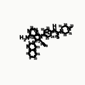 C#Cc1c(-c2cnc3ccccc3c2)c2c(N)ncnc2n1C12CCC(NC(=S)N3CCN(C)CC3)(CC1)CC2